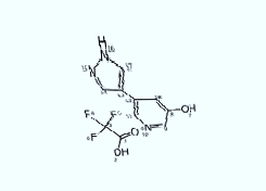 O=C(O)C(F)(F)F.Oc1cncc(-c2cn[nH]c2)c1